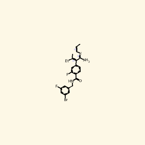 C\C=C/N=C(N)\C(=C(/C)CC)c1ccc(C(=O)NCc2cc(F)cc(Br)c2)c(F)c1